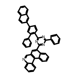 c1ccc(-c2nc(-c3ccc(-c4ccc5ccccc5c4)cc3-c3ccccc3)nc(-c3cc4cnc5ccccc5c4c4ccccc34)n2)cc1